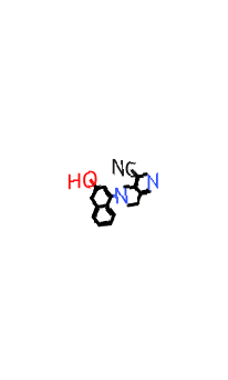 N#Cc1cncc2c1CN(c1cc(O)cc3ccccc13)CC2